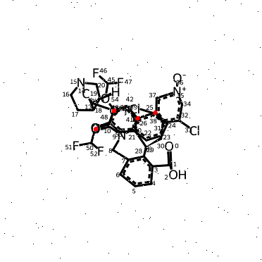 O=C(O)c1cccc(CN(C(=O)O[C@H]2CN3CCC2CC3)c2ccccc2F)c1[C@H](Cc1c(Cl)c[n+]([O-])cc1Cl)c1ccc(OC(F)F)c(OC(F)F)c1